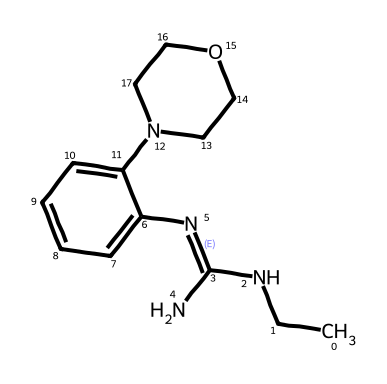 CCN/C(N)=N/c1ccccc1N1CCOCC1